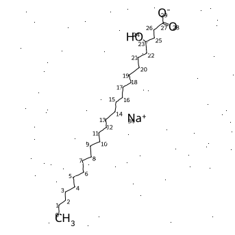 CCCCCCCCCCCCCCCCCCCCCCCC(O)CCC(=O)[O-].[Na+]